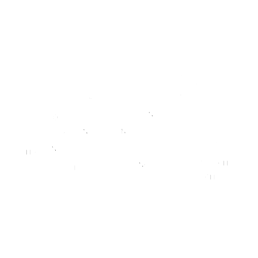 CC(C)C1CN(c2nc(C3CC3)c3c(c2C#N)CC(C)(C)OC3)CCN1C(=O)N(C)C